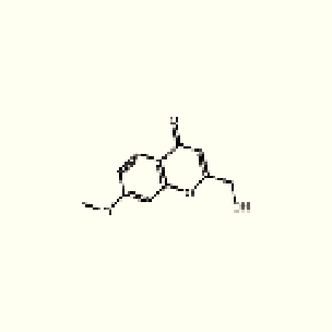 COc1ccc2c(=O)cc(CO)oc2c1